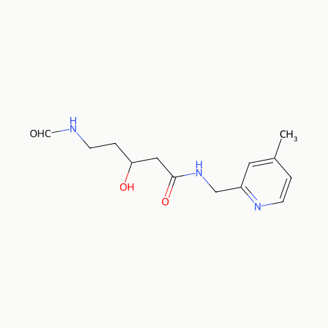 Cc1ccnc(CNC(=O)CC(O)CCNC=O)c1